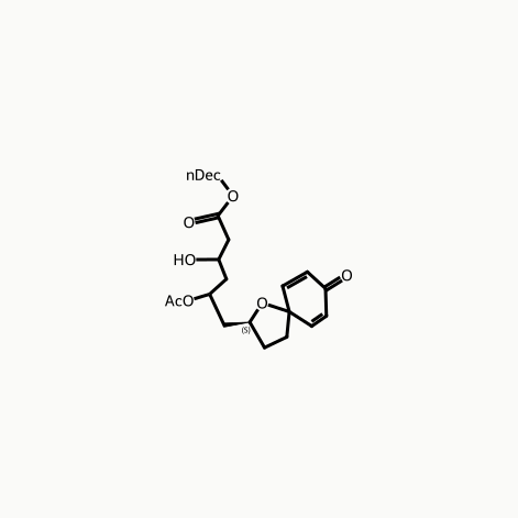 CCCCCCCCCCOC(=O)CC(O)CC(C[C@@H]1CCC2(C=CC(=O)C=C2)O1)OC(C)=O